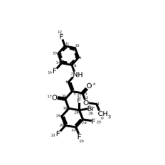 CCOC(=O)C(=CNc1ccc(F)cc1F)C(=O)C1C=C(F)C(F)=C(F)C1(F)Br